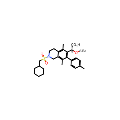 Cc1ccc(-c2c(C)c3c(c(C)c2[C@H](OC(C)(C)C)C(=O)O)CCN(S(=O)(=O)CC2CCCCC2)C3)cc1